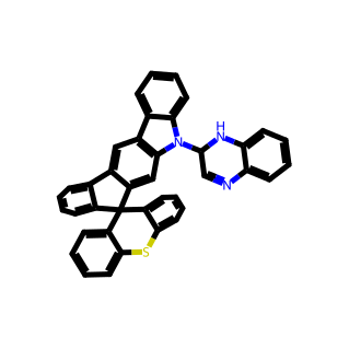 C1=Nc2ccccc2NC1n1c2ccccc2c2cc3c(cc21)C1(c2ccccc2Sc2ccccc21)c1ccccc1-3